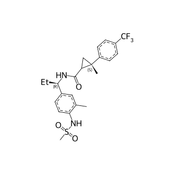 CC[C@@H](NC(=O)C1C[C@]1(C)c1ccc(C(F)(F)F)cc1)c1ccc(NS(C)(=O)=O)c(C)c1